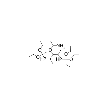 CCOC(CC)(OCC)PC(C)C(OC(C)N)C(C)PC(CC)(OCC)OCC